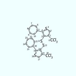 ClC(Cl)(Cl)c1csc(-c2ccccc2)c1SSc1c(C(Cl)(Cl)Cl)csc1-c1ccccc1